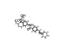 O=C(O)CC1CCc2cc(NC(=O)c3ccc(C=NN4CCCCC4)cc3)ccc2C1CCO